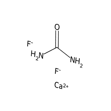 NC(N)=O.[Ca+2].[F-].[F-]